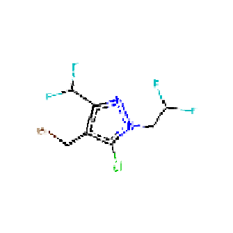 FC(F)Cn1nc(C(F)F)c(CBr)c1Cl